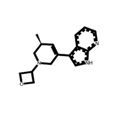 C[C@H]1C=C(c2c[nH]c3ncccc23)CN(C2COC2)C1